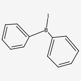 IB(c1ccccc1)c1ccccc1